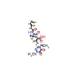 CCn1nc(SCC2=C(C(=O)O)N3C(=O)[C@@H](NC(=O)Cc4cccs4)[C@H]3SC2)n(CC)c(=O)c1=O